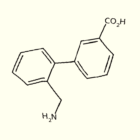 NCc1ccccc1-c1cccc(C(=O)O)c1